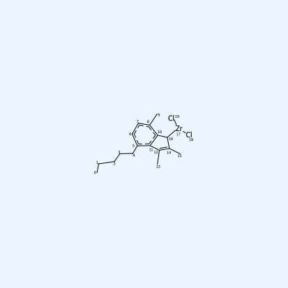 CCCCCc1ccc(C)c2c1C(C)=C(C)[CH]2[Zr]([Cl])[Cl]